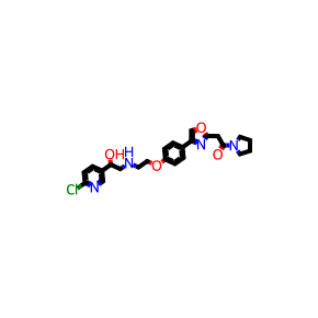 O=C(Cc1nc(-c2ccc(OCCNCC(O)c3ccc(Cl)nc3)cc2)co1)N1CCCC1